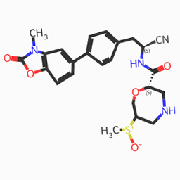 Cn1c(=O)oc2ccc(-c3ccc(C[C@@H](C#N)NC(=O)[C@@H]4CNCC([S+](C)[O-])CO4)cc3)cc21